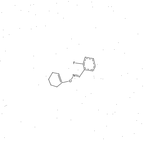 Fc1ccccc1[C]=NOC1=CCCCC1